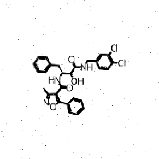 Cc1noc(-c2ccccc2)c1C(=O)N[C@@H](Cc1ccccc1)C(O)C(=O)NCc1ccc(Cl)c(Cl)c1